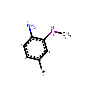 CPc1cc(C(C)C)ccc1N